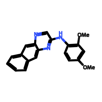 COc1ccc(Nc2cnc3cc4ccccc4cc3n2)c(OC)c1